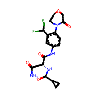 NC(=O)[C@@H](NC(=O)C1CC1)C(=O)Nc1ccc(N2CCOCC2=O)c(C(F)F)c1